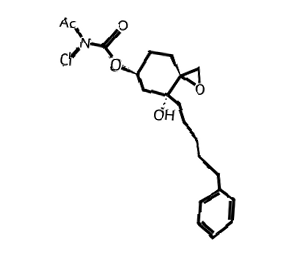 CC(=O)N(Cl)C(=O)O[C@H]1CC[C@]2(CO2)[C@@](O)(CCCCCc2ccccc2)C1